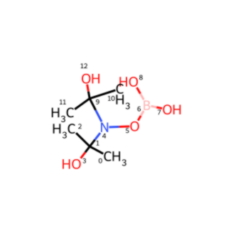 CC(C)(O)N(OB(O)O)C(C)(C)O